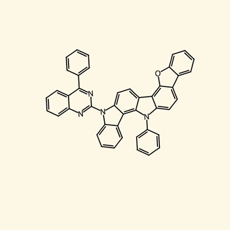 c1ccc(-c2nc(-n3c4ccccc4c4c3ccc3c5c6oc7ccccc7c6ccc5n(-c5ccccc5)c34)nc3ccccc23)cc1